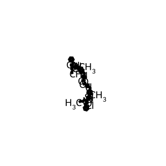 CCCCN(C(=O)Cc1ccccc1)c1nnc(-c2ccc(CN3CC(C(=O)OC(=O)C4CN(Cc5ccc(-c6nnc(N(CCCC)C(=O)Cc7ccccc7Cl)s6)c(C)c5)C4)C3)cc2C)s1